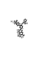 COc1cc(OC)c2c(=O)[nH]c(-c3ccc(OCC[N+]4(O)CCCC4)c(-c4ccc(S(C)(=O)=O)cc4)n3)nc2c1